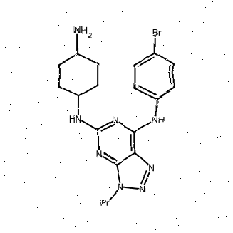 CC(C)n1nnc2c(Nc3ccc(Br)cc3)nc(NC3CCC(N)CC3)nc21